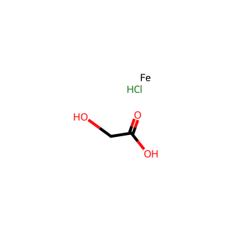 Cl.O=C(O)CO.[Fe]